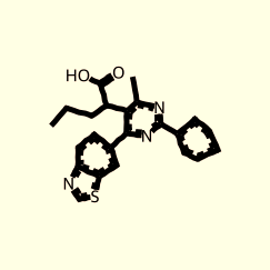 CCCC(C(=O)O)c1c(C)nc(-c2ccccc2)nc1-c1ccc2ncsc2c1